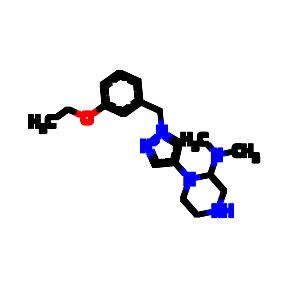 CCOc1cccc(Cn2cc(N3CCNCC3N(C)C)cn2)c1